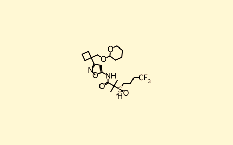 CC(C)(C(=O)Nc1cc(C2(COC3CCCCO3)CCC2)no1)[SH](C)(=O)CCCC(F)(F)F